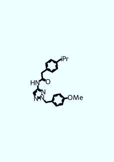 COc1ccc(Cn2ncc(NC(=O)Cc3ccc(C(C)C)cc3)n2)cc1